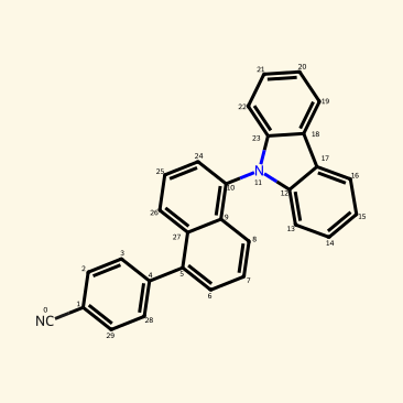 N#Cc1ccc(-c2cccc3c(-n4c5ccccc5c5ccccc54)cccc23)cc1